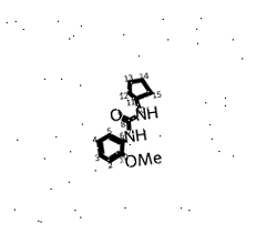 COc1ccccc1NC(=O)NC1CCCC1